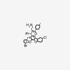 Cc1ccc(C(=O)N(CCN)C(c2nc3c(oc4ccc(Cl)cc43)c(=O)n2Cc2ccc(Br)o2)C(C)C)cc1